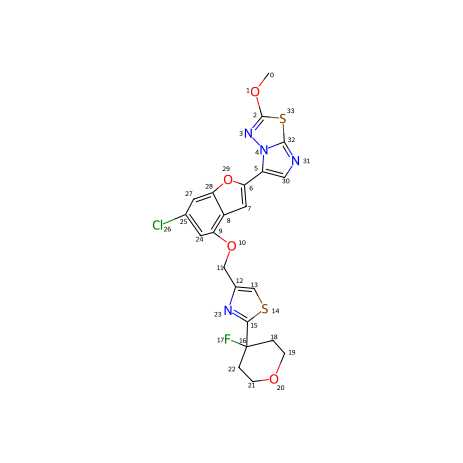 COc1nn2c(-c3cc4c(OCc5csc(C6(F)CCOCC6)n5)cc(Cl)cc4o3)cnc2s1